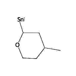 CC1CCO[CH]([Sn])C1